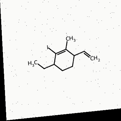 C=CC1CCC(CC)C(I)=C1C